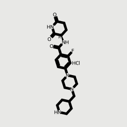 Cl.O=C1CC[C@@H](NC(=O)c2ccc(N3CCN(CC4CCNCC4)CC3)cc2F)C(=O)N1